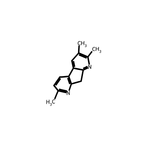 Cc1ccc2c(n1)Cc1nc(C)c(C)cc1-2